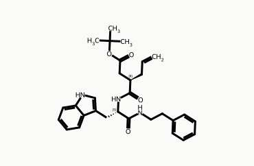 C=CC[C@H](CC(=O)OC(C)(C)C)C(=O)N[C@@H](Cc1c[nH]c2ccccc12)C(=O)NCCc1ccccc1